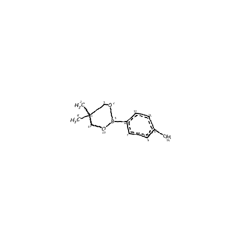 CC1(C)COB(c2ccc(O)cc2)OC1